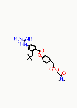 CN(C)C(=O)COC(=O)Cc1ccc(OC(=O)c2ccc(NC(=N)N)cc2CC(C)(C)C)cc1